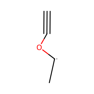 C#CO[CH]C